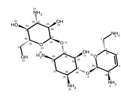 NC[C@@H]1C=C[C@@H](N)[C@@H](O[C@H]2[C@H](O)[C@@H](O[C@H]3O[C@H](CO)[C@@H](O)[C@H](N)[C@H]3O)[C@H](N)C[C@@H]2N)O1